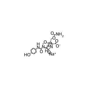 NC(=O)OCC1=C(C(=O)[O-])N2C(=O)[C@@H]3[C@H]2C1OCN3C(=O)Nc1ccc(O)cc1.[Na+]